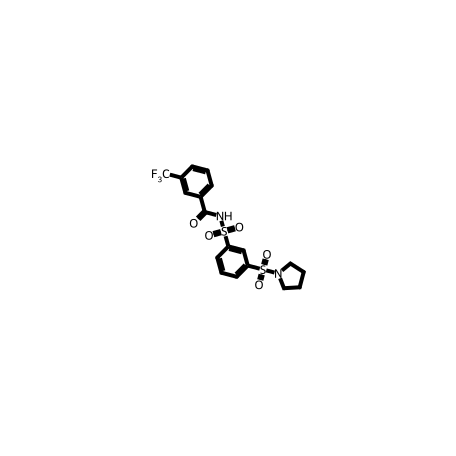 O=C(NS(=O)(=O)c1cccc(S(=O)(=O)N2CCCC2)c1)c1cccc(C(F)(F)F)c1